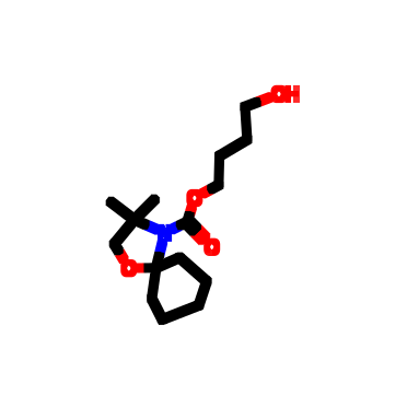 CC1(C)COC2(CCCCC2)N1C(=O)OCCCCO